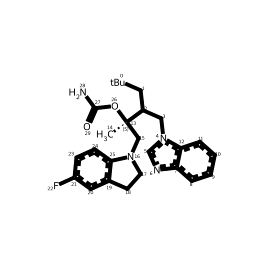 CC(C)(C)CC(Cn1cnc2ccccc21)[C@@](C)(CN1CCc2cc(F)ccc21)OC(N)=O